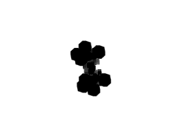 O=C(CC(=O)NCC(O)(Cc1ccccc1)C(c1ccccc1)c1cccc2ccccc12)NCC(O)(Cc1ccccc1)C(c1ccccc1)c1cccc2ccccc12